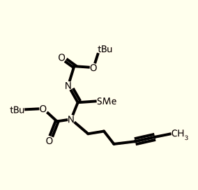 CC#CCCCN(C(=O)OC(C)(C)C)C(=NC(=O)OC(C)(C)C)SC